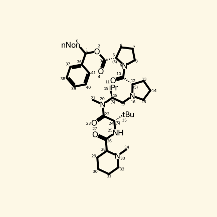 CCCCCCCCCC(OC(=O)[C@@H]1CCCN1C(=O)[C@@H]1CCCN1C[C@H](C(C)C)N(C)C(=O)[C@@H](NC(=O)C1CCCCN1C)C(C)(C)C)c1ccccc1